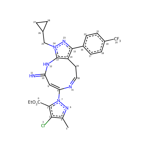 CCOC(=O)c1c(Cl)c(C)nn1C1=C/C(=N)Nc2c(c(-c3ccc(C(F)(F)F)cc3)nn2CC2CC2)C/C=N\1